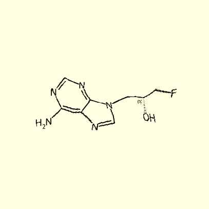 Nc1ncnc2c1ncn2C[C@@H](O)CF